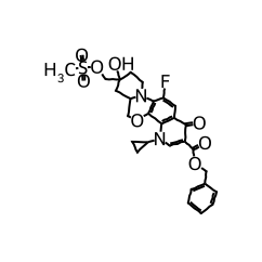 CS(=O)(=O)OCC1(O)CCN2c3c(F)cc4c(=O)c(C(=O)OCc5ccccc5)cn(C5CC5)c4c3OCC2C1